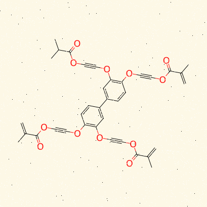 C=C(C)C(=O)OC#COc1ccc(-c2ccc(OC#COC(=O)C(=C)C)c(OC#COC(=O)C(C)C)c2)cc1OC#COC(=O)C(=C)C